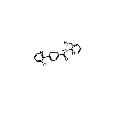 Cc1cccnc1NC(=O)c1ccc(-c2ncccc2Cl)cc1